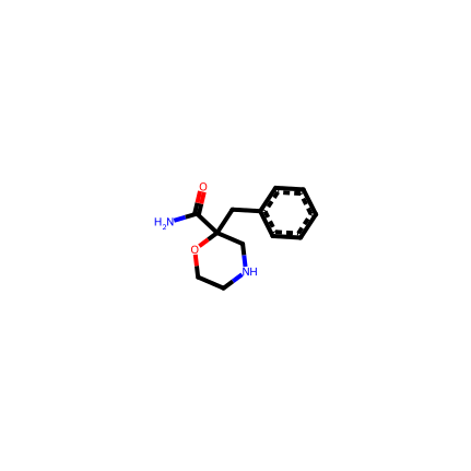 NC(=O)C1(Cc2ccccc2)CNCCO1